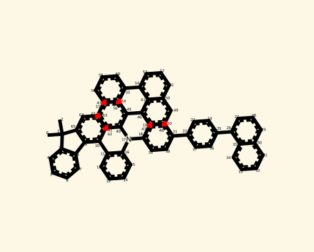 CC1(C)c2ccccc2-c2c(-c3ccccc3N(c3ccc(-c4ccc(-c5cccc6ccccc56)cc4)cc3)c3ccccc3-c3cccc4cccc(-c5ccccc5)c34)cccc21